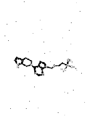 C[Si](C)(C)CCOCn1ccc2c(N3CCc4cc[nH]c4C3)ncnc21